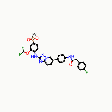 CC(C)S(=O)(=O)c1ccc(Nc2nc3ccc(-c4ccc(NC(=O)Cc5ccc(F)cc5)cc4)cn3n2)c(OC(F)F)c1